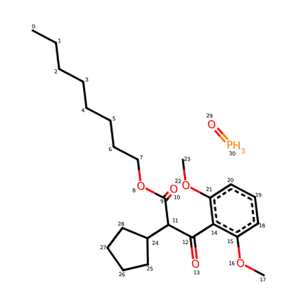 CCCCCCCCOC(=O)C(C(=O)c1c(OC)cccc1OC)C1CCCC1.O=[PH3]